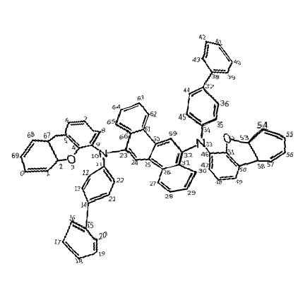 C1=CC2Oc3c(cccc3N(c3ccc(-c4ccccc4)cc3)c3cc4c5ccccc5c(N(c5ccc(-c6ccccc6)cc5)c5cccc6c5OC5C=CC=CC65)cc4c4ccccc34)C2C=C1